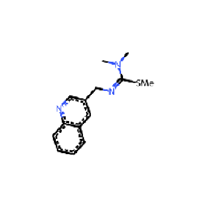 CSC(=NCc1cnc2ccccc2c1)N(C)C